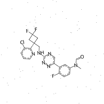 CN(C=O)c1ccc(F)c(-c2cnc(NCC3(c4ncccc4Cl)CC(F)(F)C3)nn2)c1